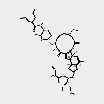 CCCC(CCC)C(=O)N(C)[C@H]1CC[C@H](O[C@H]2CCC[C@H](CC)OC(=O)C[C@@H]3C(=C[C@@H]4[C@H]3C=C(C)[C@@H]3C[C@@H](OC(OC(C)[C@@H](C)OC)[C@H](COC)OC)C[C@@H]43)C(=O)[C@@H]2C)OC1C